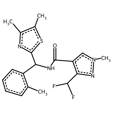 Cc1ccccc1C(NC(=O)c1cn(C)nc1C(F)F)c1nc(C)c(C)s1